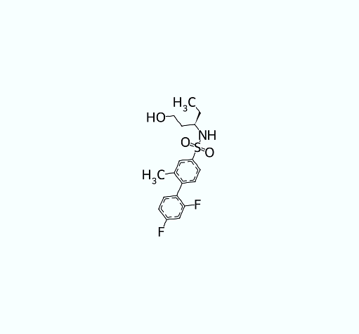 CC[C@H](CCO)NS(=O)(=O)c1ccc(-c2ccc(F)cc2F)c(C)c1